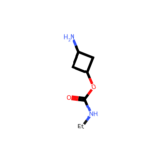 CCNC(=O)OC1CC(N)C1